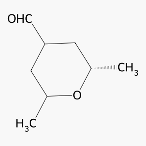 CC1CC(C=O)C[C@H](C)O1